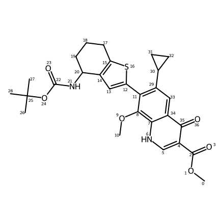 COC(=O)c1c[nH]c2c(OC)c(-c3cc4c(s3)CCCC4NC(=O)OC(C)(C)C)c(C3CC3)cc2c1=O